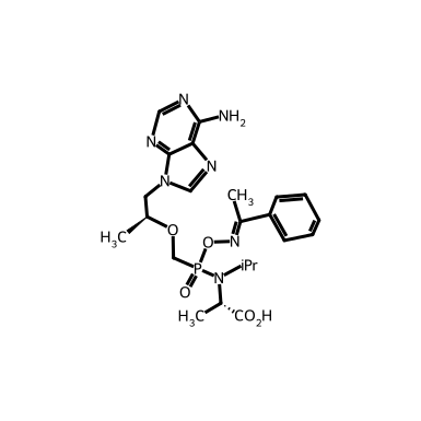 C/C(=N\OP(=O)(CO[C@@H](C)Cn1cnc2c(N)ncnc21)N(C(C)C)[C@@H](C)C(=O)O)c1ccccc1